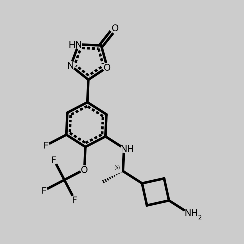 C[C@H](Nc1cc(-c2n[nH]c(=O)o2)cc(F)c1OC(F)(F)F)C1CC(N)C1